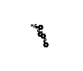 COc1ccccc1Oc1ccc2cc(OCc3ccccc3)ccc2n1